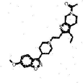 CCc1c(CCN2CCC(c3noc4cc(OC)ccc34)CC2)sc2c1CCN(C(C)=O)C2